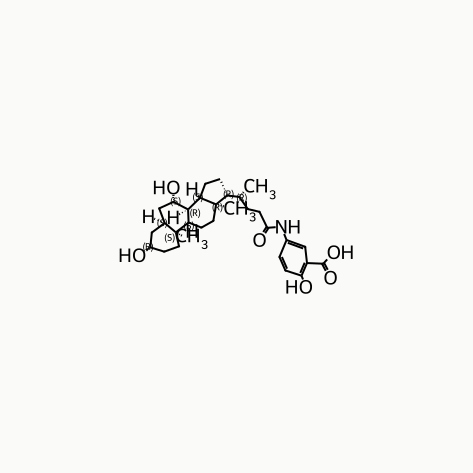 C[C@H](CCC(=O)Nc1ccc(O)c(C(=O)O)c1)[C@H]1CC[C@H]2[C@@H]3[C@@H](O)C[C@@H]4C[C@H](O)CC[C@]4(C)[C@H]3CC[C@]12C